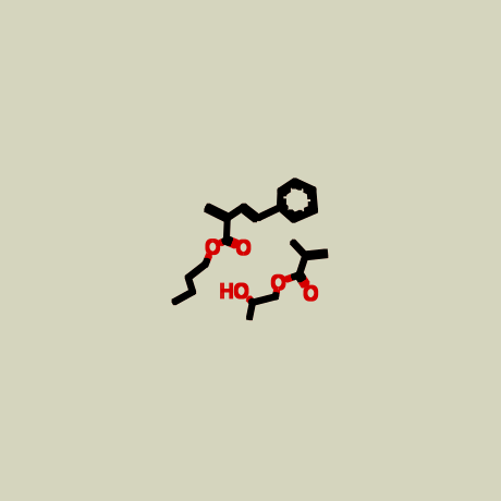 C=C(C)C(=O)OCC(C)O.C=C(C=Cc1ccccc1)C(=O)OCCCC